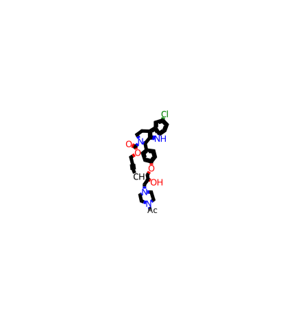 CC#CCOC(=O)N1CCc2c([nH]c3ccc(Cl)cc23)C1c1ccc(OCC(O)CN2CCN(C(C)=O)CC2)cc1